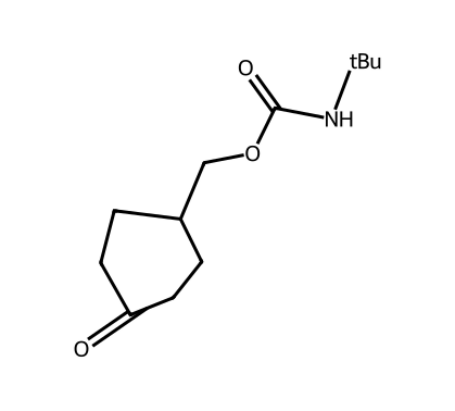 CC(C)(C)NC(=O)OCC1CCC(=O)CC1